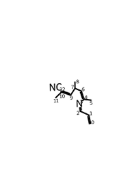 C=C/C=N\C(C)=C/C(C)/C=C(/C)C#N